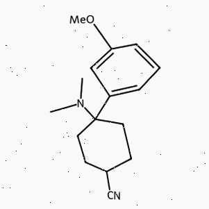 COc1cccc(C2(N(C)C)CCC(C#N)CC2)c1